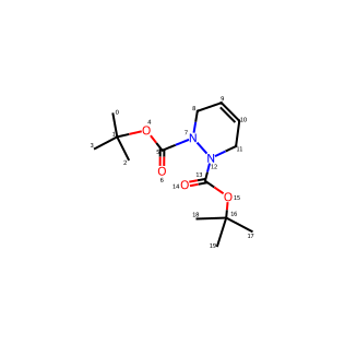 CC(C)(C)OC(=O)N1CC=CCN1C(=O)OC(C)(C)C